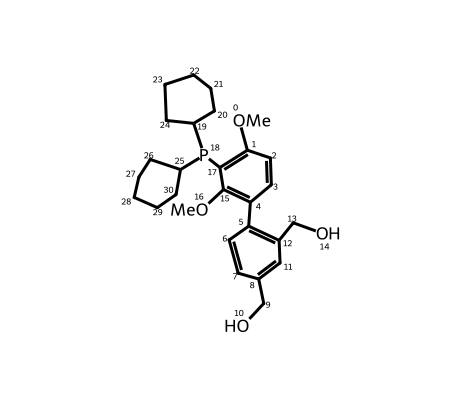 COc1ccc(-c2ccc(CO)cc2CO)c(OC)c1P(C1CCCCC1)C1CCCCC1